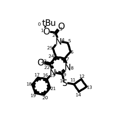 CC(C)(C)OC(=O)N1CCc2nc(SC3CCC3)n(-c3ccccc3)c(=O)c2C1